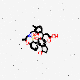 Cc1ccc(C(CC(=O)O)c2ccc3c(c2)CCC3=O)cc1CN1CC(C)Oc2ccccc2S1(O)O